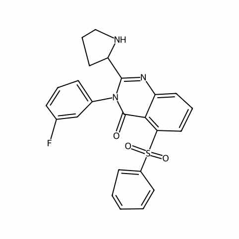 O=c1c2c(S(=O)(=O)c3ccccc3)cccc2nc(C2CCCN2)n1-c1cccc(F)c1